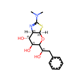 CN(C)C1=N[C@@H]2[C@@H](O)[C@H](O)C([C@H](O)Cc3ccccc3)O[C@@H]2S1